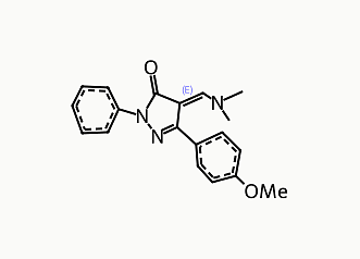 COc1ccc(C2=NN(c3ccccc3)C(=O)/C2=C/N(C)C)cc1